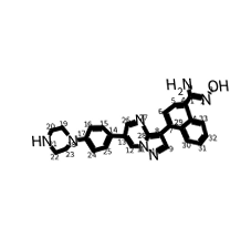 NC(=NO)c1ccc(-c2cnn3cc(-c4ccc(N5CCNCC5)cc4)cnc23)c2ccccc12